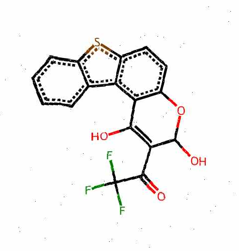 O=C(C1=C(O)c2c(ccc3sc4ccccc4c23)OC1O)C(F)(F)F